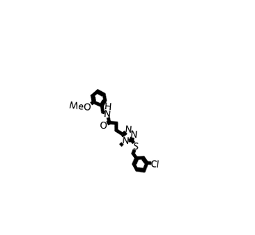 COc1ccccc1CNC(=O)CCc1nnc(SCc2cccc(Cl)c2)n1C